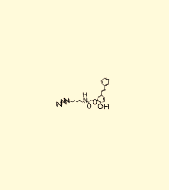 [N-]=[N+]=NCCCCCNC(=O)COc1cc(/C=C/c2ccccc2)ccc1O